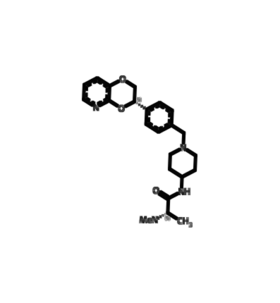 CN[C@@H](C)C(=O)NC1CCN(Cc2ccc([C@H]3COc4cccnc4O3)cc2)CC1